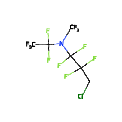 FC(F)(F)N(C(F)(F)C(F)(F)F)C(F)(F)C(F)(F)CCl